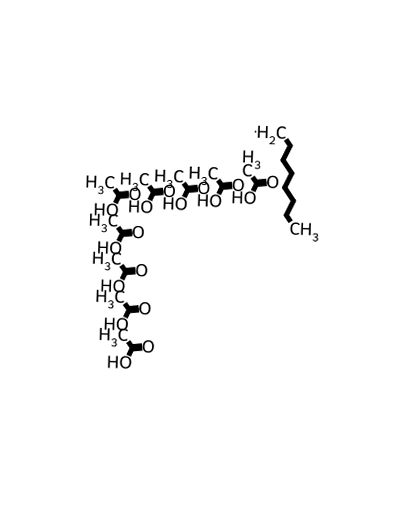 CC(=O)O.CC(=O)O.CC(=O)O.CC(=O)O.CC(=O)O.CC(=O)O.CC(=O)O.CC(=O)O.CC(=O)O.[CH2]CCCCCCC